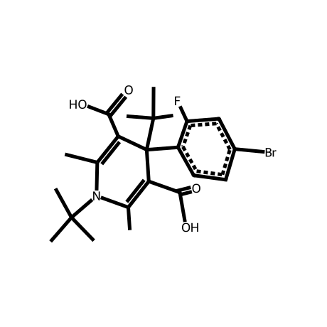 CC1=C(C(=O)O)C(c2ccc(Br)cc2F)(C(C)(C)C)C(C(=O)O)=C(C)N1C(C)(C)C